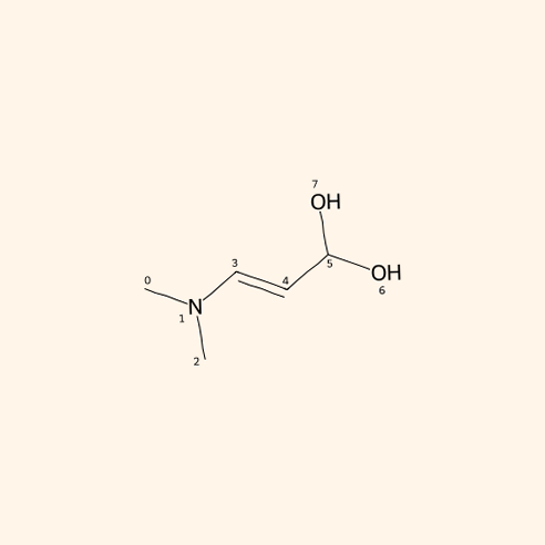 CN(C)C=CC(O)O